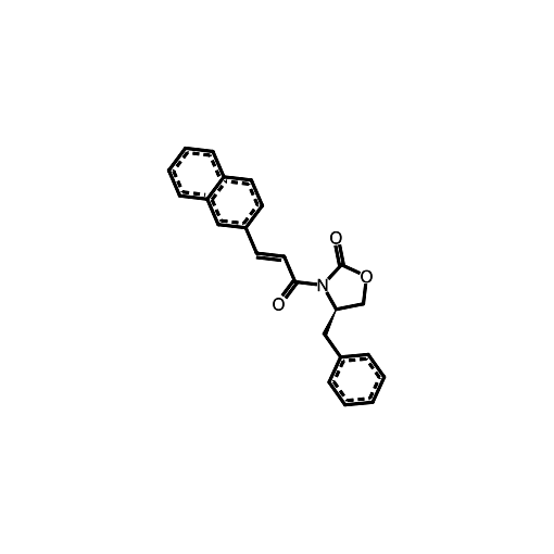 O=C(/C=C/c1ccc2ccccc2c1)N1C(=O)OC[C@H]1Cc1ccccc1